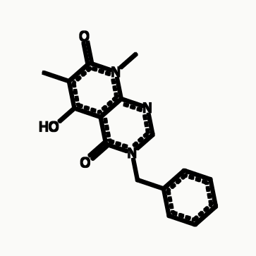 Cc1c(O)c2c(=O)n(Cc3ccccc3)cnc2n(C)c1=O